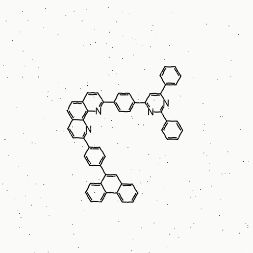 c1ccc(-c2cc(-c3ccc(-c4ccc5ccc6ccc(-c7ccc(-c8cc9ccccc9c9ccccc89)cc7)nc6c5n4)cc3)nc(-c3ccccc3)n2)cc1